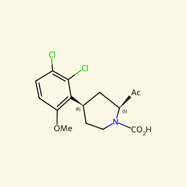 COc1ccc(Cl)c(Cl)c1[C@@H]1CCN(C(=O)O)[C@H](C(C)=O)C1